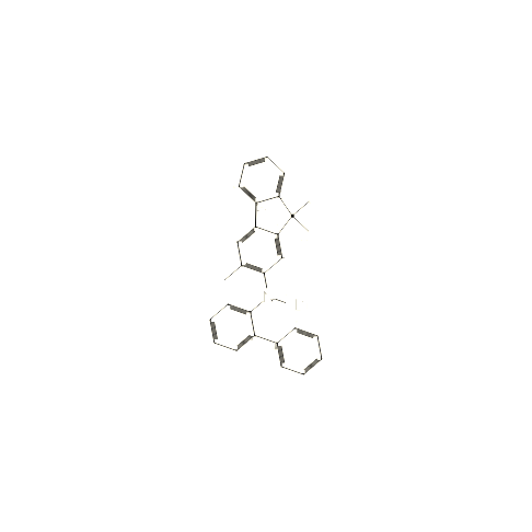 Cc1cc2c(cc1N(c1ccccc1-c1ccccc1)C(C)(C)C)C(C)(C)c1ccccc1-2